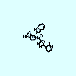 Cc1ncccc1-c1nnc(C(=O)N2CCc3[nH]cnc3[C@@H]2c2cc3ccccn3n2)o1